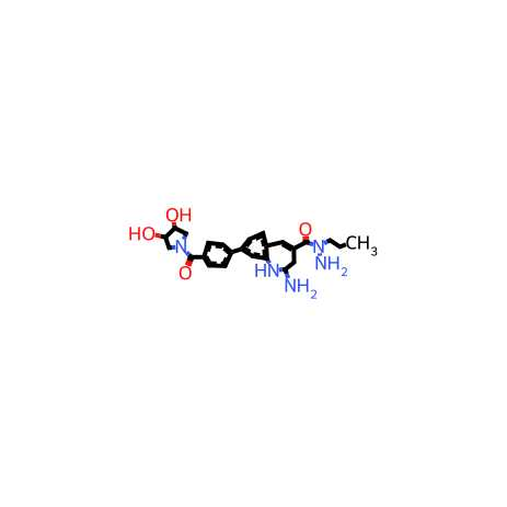 CCCN(N)C(=O)C1=Cc2ccc(-c3ccc(C(=O)N4CC(O)C(O)C4)cc3)cc2NC(N)C1